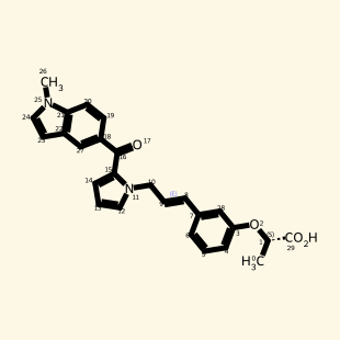 C[C@H](Oc1cccc(/C=C/Cn2cccc2C(=O)c2ccc3c(ccn3C)c2)c1)C(=O)O